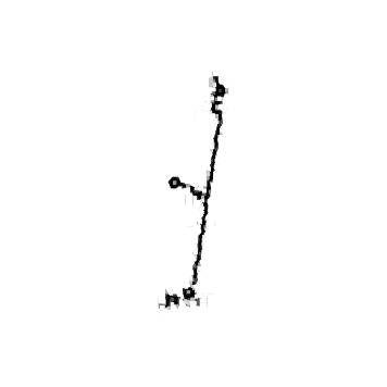 O=C(CCOCC(COCCC(=O)NCCOCCOCCOCCOC[C@H]1OC[C@H](Nc2cncc(C(F)(F)F)n2)[C@@H](O)[C@H]1O)NC(=O)CC(=O)OCc1ccccc1)NCCOCCOCCOCCOCC1OC[C@H](Nc2cncc(C(F)(F)F)n2)[C@@H](O)[C@H]1O